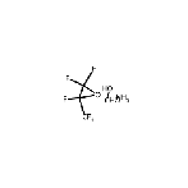 FC(F)(F)C1(F)OC1(F)F.N.O=CO